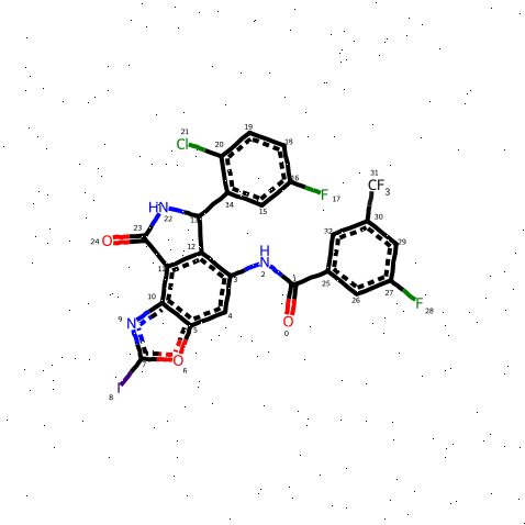 O=C(Nc1cc2oc(I)nc2c2c1C(c1cc(F)ccc1Cl)NC2=O)c1cc(F)cc(C(F)(F)F)c1